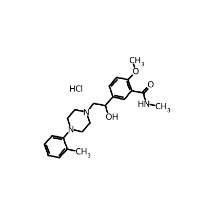 CNC(=O)c1cc(C(O)CN2CCN(c3ccccc3C)CC2)ccc1OC.Cl